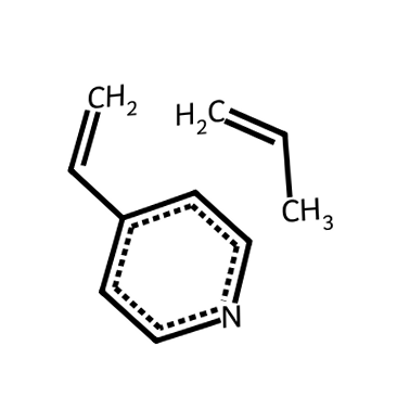 C=CC.C=Cc1ccncc1